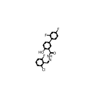 O=C(N/N=C\c1c(F)cccc1Cl)c1cc(-c2ccc(F)cc2F)ccc1O